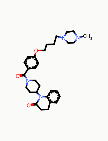 CN1CCN(CCCCOc2ccc(C(=O)N3CCC(N4C(=O)CCc5ccccc54)CC3)cc2)CC1